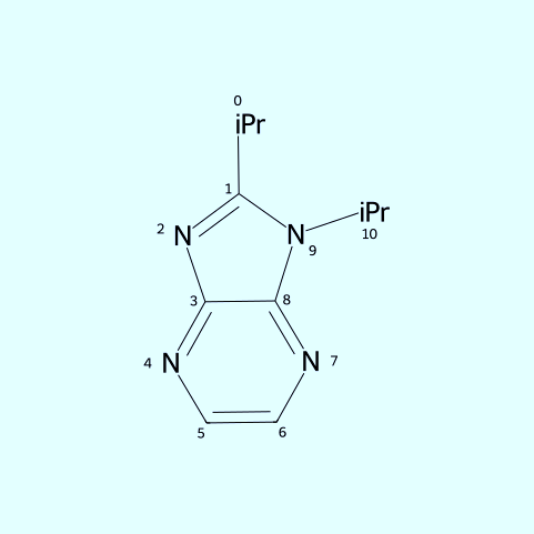 CC(C)c1nc2nccnc2n1C(C)C